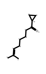 CC(C)=CCCCCC(=O)C1CC1